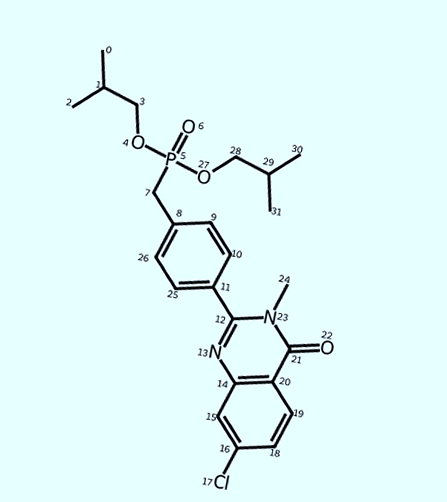 CC(C)COP(=O)(Cc1ccc(-c2nc3cc(Cl)ccc3c(=O)n2C)cc1)OCC(C)C